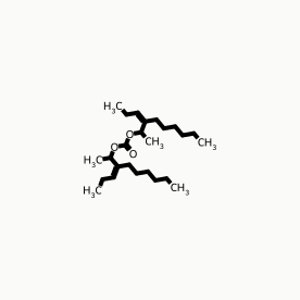 CC/C=C(/CCCCCC)C(C)OC(=O)OC(C)/C(=C\CC)CCCCCC